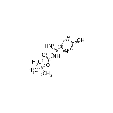 CC(C)(C)OC(=O)NC(=N)c1ccc(O)cn1